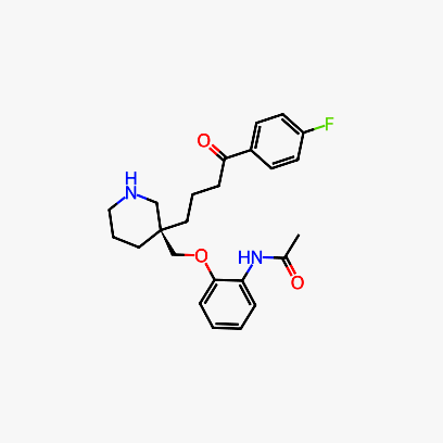 CC(=O)Nc1ccccc1OC[C@@]1(CCCC(=O)c2ccc(F)cc2)CCCNC1